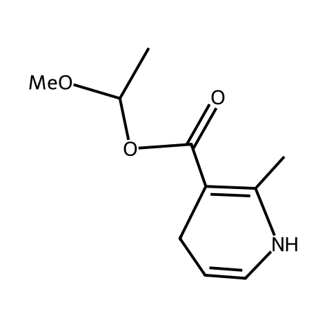 COC(C)OC(=O)C1=C(C)NC=CC1